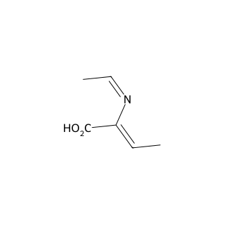 C/C=N\C(=C/C)C(=O)O